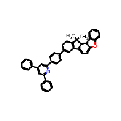 CC1(C)C2=C(C=C(c3ccc(-c4cc(-c5ccccc5)cc(-c5ccccc5)n4)cc3)CC2)C2=CC=C3Oc4ccccc4C3C21